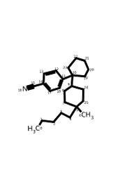 CCCCCC1(C)CCC(C2(c3ccc(C#N)cc3)CCCCC2)CC1